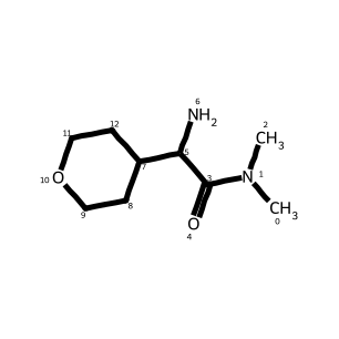 CN(C)C(=O)C(N)C1CCOCC1